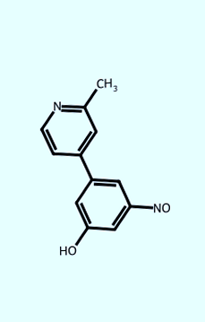 Cc1cc(-c2cc(O)cc(N=O)c2)ccn1